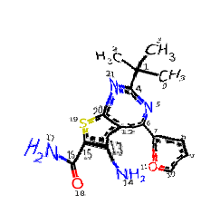 CC(C)(C)c1nc(-c2ccco2)c2c(N)c(C(N)=O)sc2n1